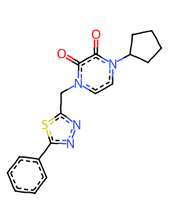 O=c1c(=O)n(C2CCCC2)ccn1Cc1nnc(-c2ccccc2)s1